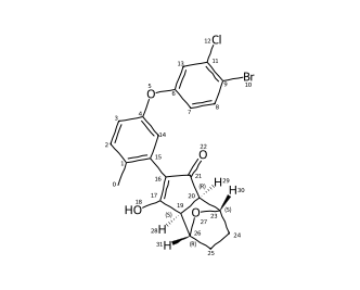 Cc1ccc(Oc2ccc(Br)c(Cl)c2)cc1C1=C(O)[C@H]2[C@@H](C1=O)[C@@H]1CC[C@H]2O1